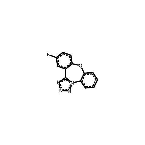 Fc1ccc2c(c1)-c1nnnn1-c1ccccc1O2